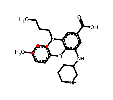 CCCCN(CCCC)c1cc(C(=O)O)cc(NC2CCCNC2)c1Oc1ccccc1